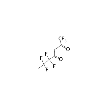 CC(F)(F)C(F)(F)C(=O)CC(=O)C(F)(F)F